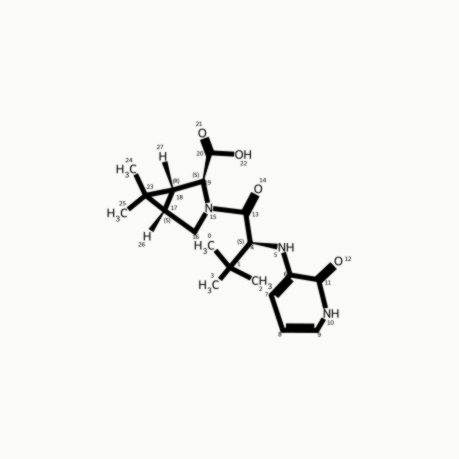 CC(C)(C)[C@H](Nc1ccc[nH]c1=O)C(=O)N1C[C@H]2[C@@H]([C@H]1C(=O)O)C2(C)C